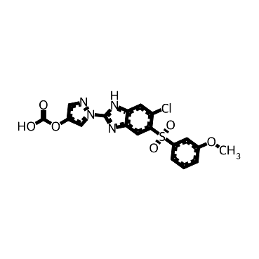 COc1cccc(S(=O)(=O)c2cc3nc(-n4cc(OC(=O)O)cn4)[nH]c3cc2Cl)c1